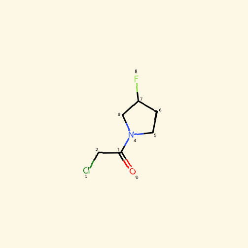 O=C(CCl)N1CCC(F)C1